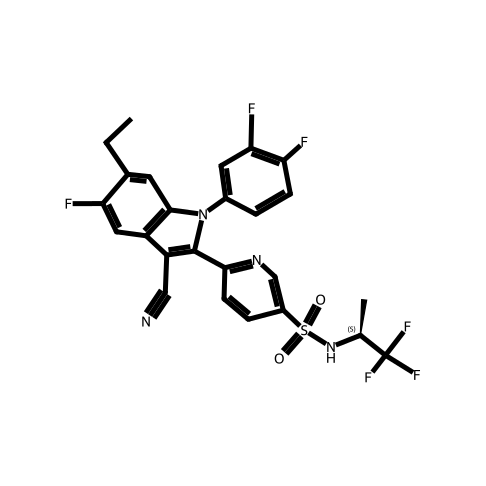 CCc1cc2c(cc1F)c(C#N)c(-c1ccc(S(=O)(=O)N[C@@H](C)C(F)(F)F)cn1)n2-c1ccc(F)c(F)c1